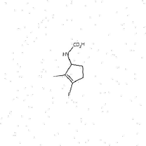 CC1=C(F)CCC1NC(=O)O